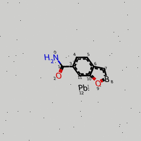 NC(=O)c1ccc2cboc2c1.[Pb]